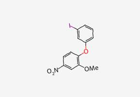 COc1cc([N+](=O)[O-])ccc1Oc1cccc(I)c1